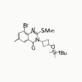 CSc1nc2c(Br)cc(C)cc2c(=O)n1C1CC(O[Si](C)(C)C(C)(C)C)C1